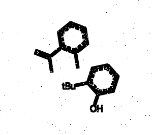 C=C(C)c1ccccc1C.CC(C)(C)c1ccccc1O